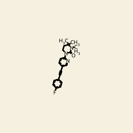 CN1C(=O)N(c2ccc(C#Cc3ccc(F)cc3)cn2)CCC1(C)C